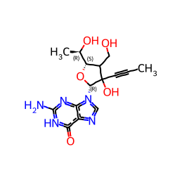 CC#CC1(O)C(CO)[C@@H]([C@@H](C)O)O[C@H]1n1cnc2c(=O)[nH]c(N)nc21